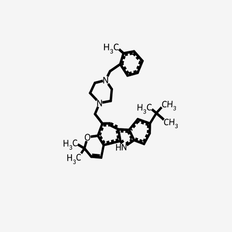 Cc1ccccc1CN1CCN(Cc2cc3c([nH]c4ccc(C(C)(C)C)cc43)c3c2OC(C)(C)C=C3)CC1